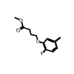 COC(=O)CCCOc1cc(C)ccc1F